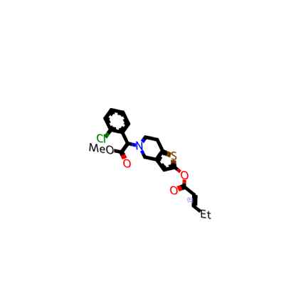 CC/C=C/C(=O)Oc1cc2c(s1)CCN(C(C(=O)OC)c1ccccc1Cl)C2